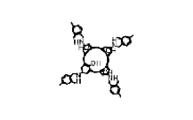 Cc1ccc(CNc2cc3c(O)c(c2)Cc2cc(NCc4ccc(C)cc4C)cc(c2O)Cc2cc(NCc4ccc(C)cc4C)cc(c2O)Cc2cc(NCc4ccc(C)cc4C)cc(c2O)C3)c(C)c1